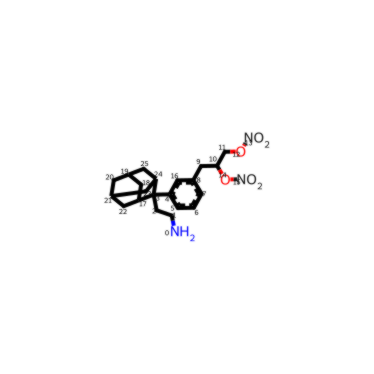 NCCC1(c2cccc(CC(CO[N+](=O)[O-])O[N+](=O)[O-])c2)C2CC3CC(C2)CC1C3